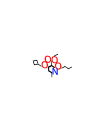 CCCCOc1nc(C)cc(OCC2CCC2)c1C(=O)OCC